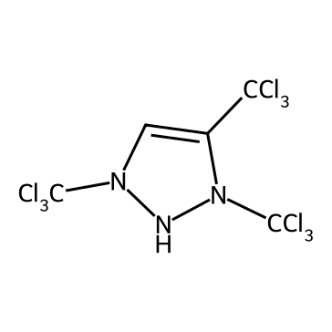 ClC(Cl)(Cl)C1=CN(C(Cl)(Cl)Cl)NN1C(Cl)(Cl)Cl